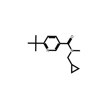 CN(CC1CC1)C(=O)c1ccc(C(C)(C)C)nc1